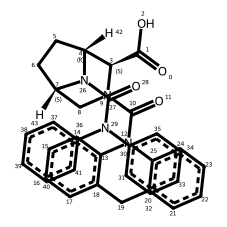 O=C(O)[C@@H]1[C@H]2CC[C@@H](CN1C(=O)N1c3ccccc3Cc3ccccc31)N2C(=O)N(c1ccccc1)c1ccccc1